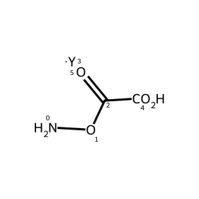 NOC(=O)C(=O)O.[Y]